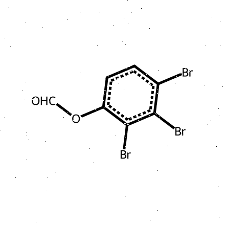 O=COc1ccc(Br)c(Br)c1Br